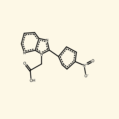 O=C(O)Cn1c(-c2ccc([N+](=O)[O-])cc2)nc2cccnc21